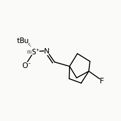 CC(C)(C)[S@@+]([O-])N=CC12CCC(F)(CC1)C2